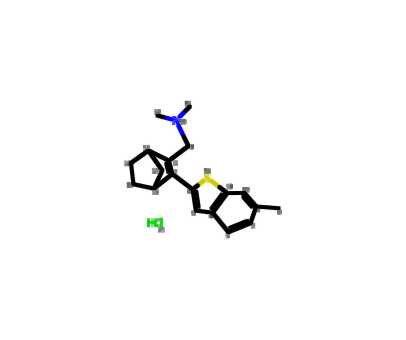 Cc1ccc2cc(C3=C(CN(C)C)C4CCC3C4)sc2c1.Cl